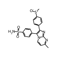 Cc1ccn2c(-c3ccc(S(N)(=O)=O)cc3)c(-c3ccc([S+](C)[O-])cc3)nc2n1